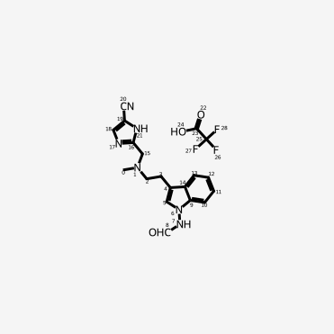 CN(CCc1cn(NC=O)c2ccccc12)Cc1ncc(C#N)[nH]1.O=C(O)C(F)(F)F